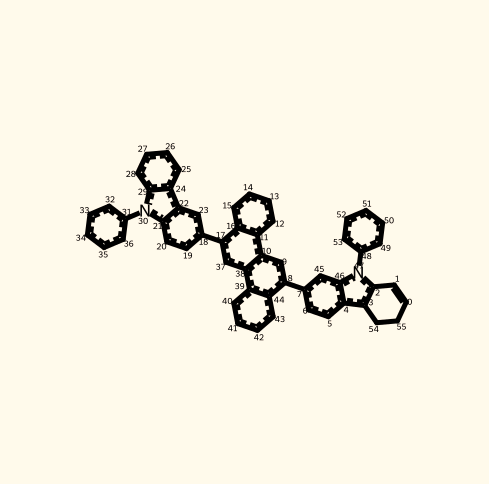 C1=Cc2c(c3ccc(-c4cc5c6ccccc6c(-c6ccc7c(c6)c6ccccc6n7-c6ccccc6)cc5c5ccccc45)cc3n2-c2ccccc2)CC1